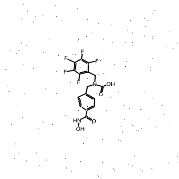 O=C(NO)c1ccc(CN(Cc2c(F)c(F)c(F)c(F)c2F)C(=O)O)cc1